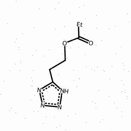 CCC(=O)OCCc1nnn[nH]1